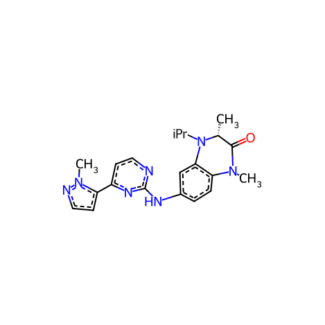 CC(C)N1c2cc(Nc3nccc(-c4ccnn4C)n3)ccc2N(C)C(=O)[C@H]1C